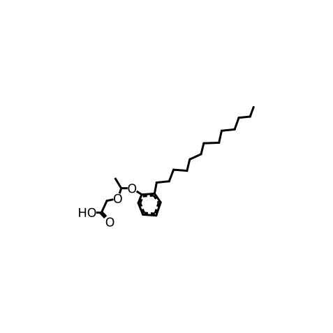 CCCCCCCCCCCCCc1ccccc1OC(C)OCC(=O)O